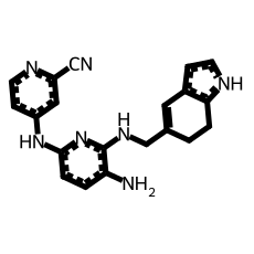 N#Cc1cc(Nc2ccc(N)c(NCC3=Cc4cc[nH]c4CC3)n2)ccn1